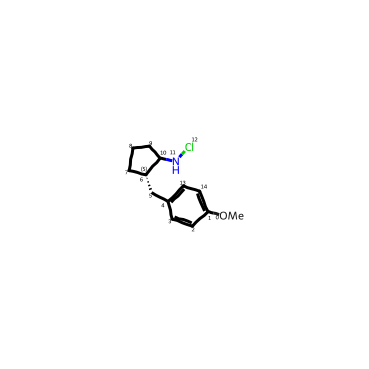 COc1ccc(C[C@@H]2CCCC2NCl)cc1